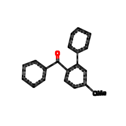 COc1ccc(C(=O)c2ccccc2)c(-c2ccccc2)c1